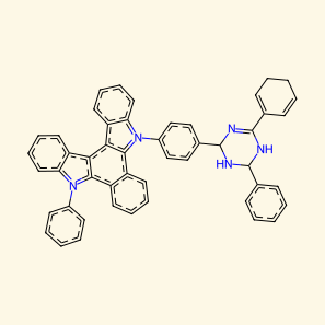 C1=CC(C2=NC(c3ccc(-n4c5ccccc5c5c6c7ccccc7n(-c7ccccc7)c6c6ccccc6c54)cc3)NC(c3ccccc3)N2)=CCC1